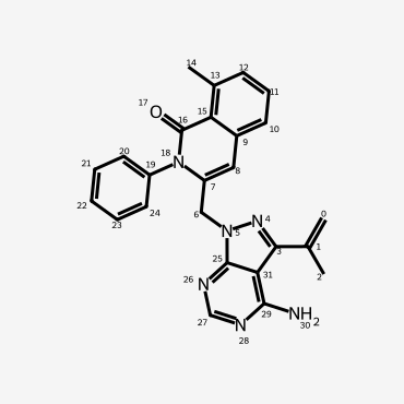 C=C(C)c1nn(Cc2cc3cccc(C)c3c(=O)n2-c2ccccc2)c2ncnc(N)c12